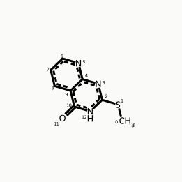 CSc1nc2ncccc2c(=O)[nH]1